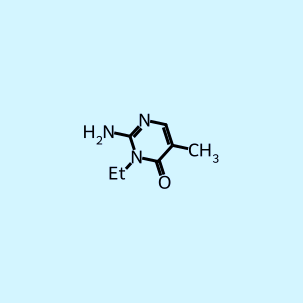 CCn1c(N)ncc(C)c1=O